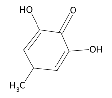 CC1C=C(O)C(=O)C(O)=C1